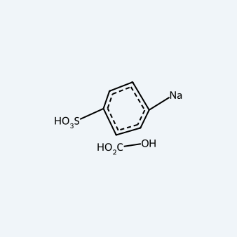 O=C(O)O.O=S(=O)(O)c1cc[c]([Na])cc1